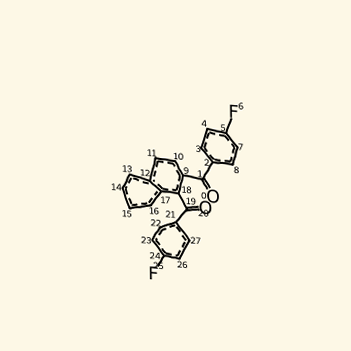 O=C(c1ccc(F)cc1)c1ccc2ccccc2c1C(=O)c1ccc(F)cc1